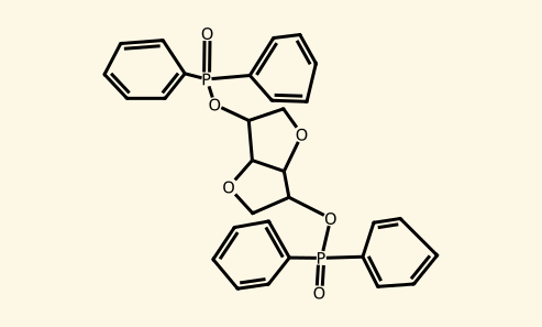 O=P(OC1COC2C(OP(=O)(c3ccccc3)c3ccccc3)COC12)(c1ccccc1)c1ccccc1